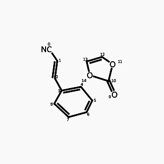 N#CC=Cc1ccccc1.O=c1occo1